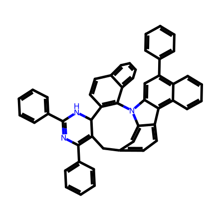 c1ccc(C2=NC(c3ccccc3)=C3Cc4ccc5c6c7ccccc7c(-c7ccccc7)cc6n(c5c4)-c4c(ccc5ccccc45)C3N2)cc1